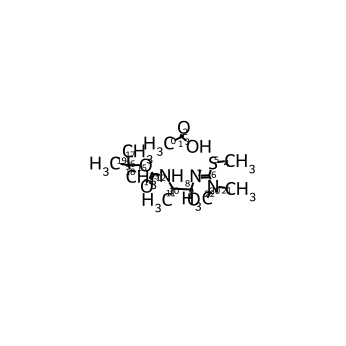 CC(=O)O.CS/C(=N/C(=O)[C@H](C)NC(=O)OC(C)(C)C)N(C)C